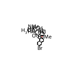 CNC(C)C(=O)NC1C(=O)N(Cc2c(OC)ccc3cc(Br)ccc23)[C@@H]2C=CC=C[C@@H]2SC1(C)C.Cl